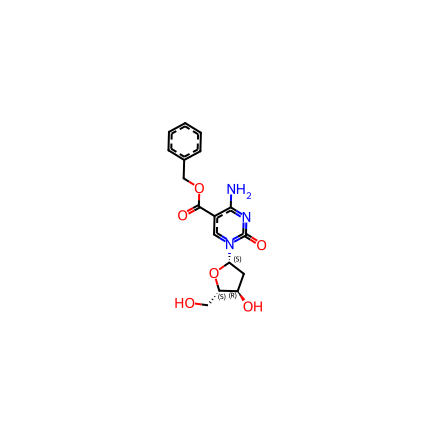 Nc1nc(=O)n([C@@H]2C[C@@H](O)[C@H](CO)O2)cc1C(=O)OCc1ccccc1